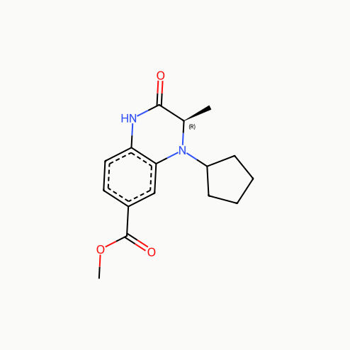 COC(=O)c1ccc2c(c1)N(C1CCCC1)[C@H](C)C(=O)N2